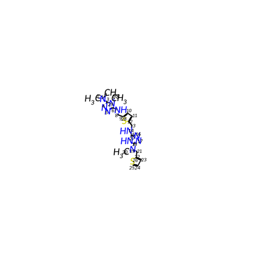 CN(C)c1nnc(NCc2ccc(CNc3nnc(N(C)Cc4cccs4)[nH]3)s2)n1C